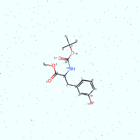 COC(=O)C(Cc1cccc(Br)c1)NC(=O)OC(C)(C)C